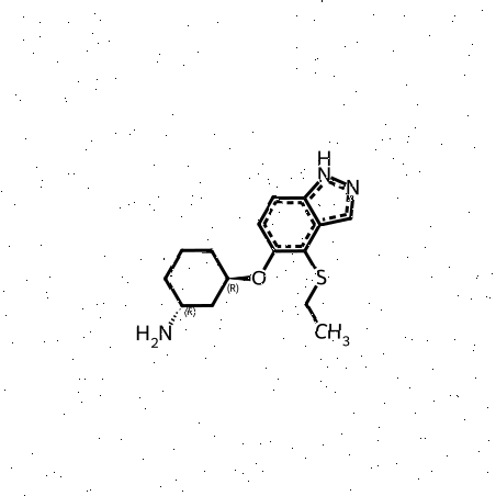 CCSc1c(O[C@@H]2CCC[C@@H](N)C2)ccc2[nH]ncc12